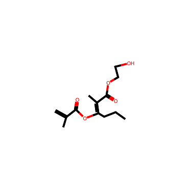 C=C(C)C(=O)OC(CCC)=C(C)C(=O)OCCO